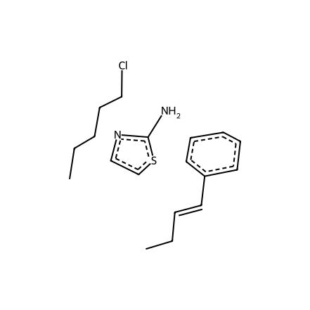 CCC=Cc1ccccc1.CCCCCCl.Nc1nccs1